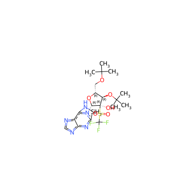 CC(C)(C)OC[C@H]1O[C@@H](n2c3nc4ncnc-4c2N[SiH2]3)[C@](O)(S(=O)(=O)C(F)(F)F)[C@@H]1OC(C)(C)C